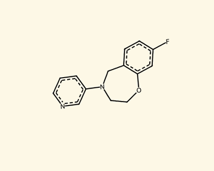 Fc1ccc2c(c1)OCCN(c1cccnc1)C2